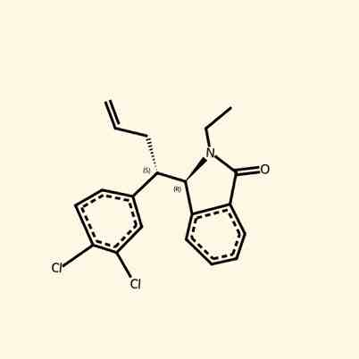 C=CC[C@@H](c1ccc(Cl)c(Cl)c1)[C@@H]1c2ccccc2C(=O)N1CC